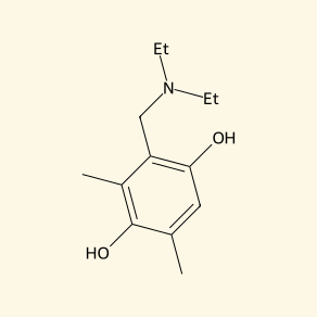 CCN(CC)Cc1c(O)cc(C)c(O)c1C